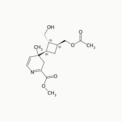 COC(=O)C1=NC=CC(C)([C@@H]2C[C@H](COC(C)=O)[C@H]2CO)C1